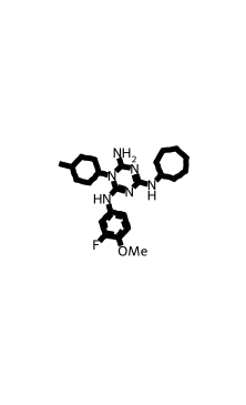 COc1ccc(NC2=NC(NC3CCCCCC3)=NC(N)N2C2CCC(C)CC2)cc1F